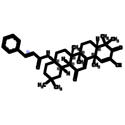 CC1(C)CC[C@]2(NC(=O)/C=C/c3ccccc3)CC[C@]3(C)[C@H](C(=O)C=C4[C@@]5(C)C=C(C#N)C(=O)C(C)(C)[C@@H]5CC[C@]43C)[C@@H]2C1